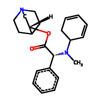 CN(C1C=CC=CC1)[C@@H](C(=O)O[C@H]1CN2CCC1CC2)c1ccccc1